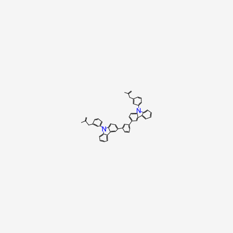 C=C(C)Cc1cccc(-n2c3ccccc3c3cc(-c4cccc(-c5ccc6c(c5)c5ccccc5n6-c5cccc(CC(=C)C)c5)c4)ccc32)c1